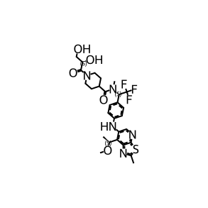 CO[C@@H](C)c1c(Nc2ccc([C@H](N(C)C(=O)C3CCN(C(=O)[C@@H](O)CO)CC3)C(F)(F)F)cc2)cnc2sc(C)nc12